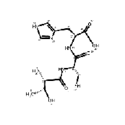 C[C@@H](O)[C@H](N)C(=O)N[C@@H](CS)C(=O)N[C@@H](Cc1c[nH]cn1)C(=O)O